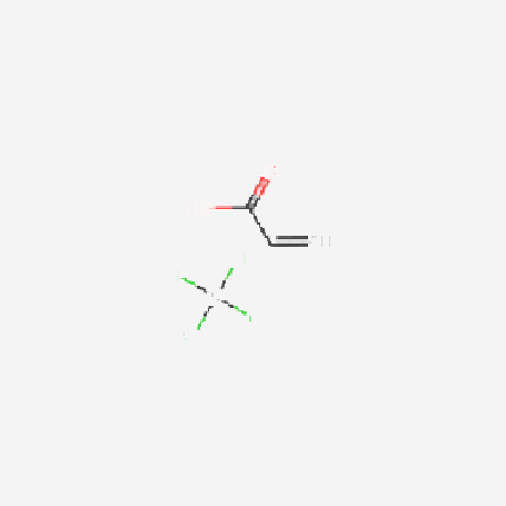 C=CC(=O)O.Cl[Si](Cl)(Cl)Cl